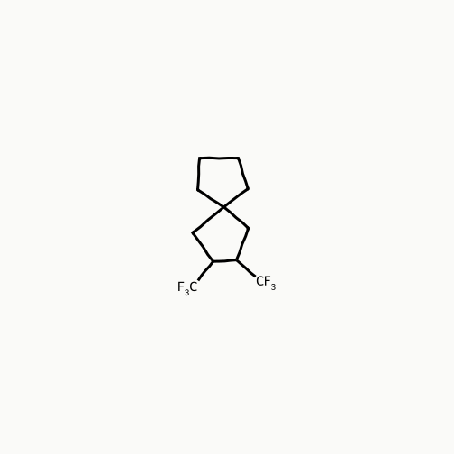 FC(F)(F)C1CC2(CCCC2)CC1C(F)(F)F